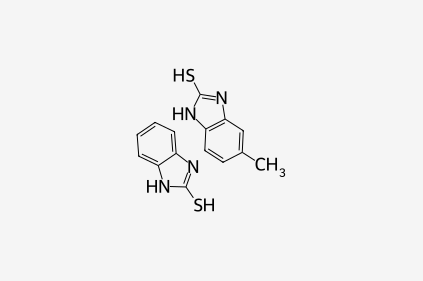 Cc1ccc2[nH]c(S)nc2c1.Sc1nc2ccccc2[nH]1